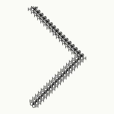 O=C(O)O.O=C(O)O.O=C(O)O.O=C(O)O.O=C(O)O.O=C(O)O.O=C(O)O.O=C(O)O.O=C(O)O.O=C(O)O.O=C(O)O.O=C(O)O.O=C(O)O.O=C(O)O.O=C(O)O.O=C(O)O.O=C(O)O.O=C(O)O.O=C(O)O.O=C(O)O.O=C(O)O.O=C(O)O.O=C(O)O.O=C(O)O.O=C(O)O.O=C(O)O.O=C(O)O.O=C(O)O.O=C(O)O.O=C(O)O.O=C(O)O.O=C(O)O.O=C([O-])O.[Na+]